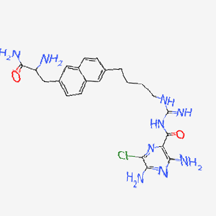 N=C(NCCCCc1ccc2cc(CC(N)C(N)=O)ccc2c1)NC(=O)c1nc(Cl)c(N)nc1N